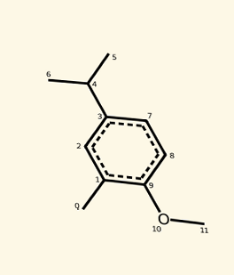 [CH2]c1cc(C(C)C)ccc1OC